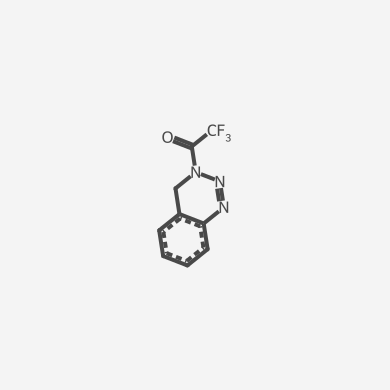 O=C(N1Cc2ccccc2N=N1)C(F)(F)F